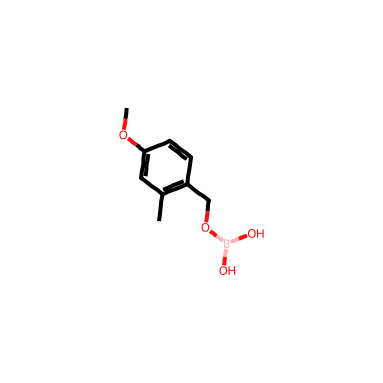 COc1ccc(COB(O)O)c(C)c1